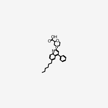 CCCCCCc1ccc2nc(N3CCOC(C(=O)O)C3)cc(-c3ccccc3)c2c1